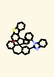 C1=Cc2ccc(-c3nc4ccccc4n3-c3ccccc3)cc2C2(c3ccccc31)c1ccccc1-c1c2ccc2sc3ccccc3c12